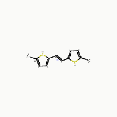 CC(=O)c1ccc(/C=C/c2ccc(C(C)=O)s2)s1